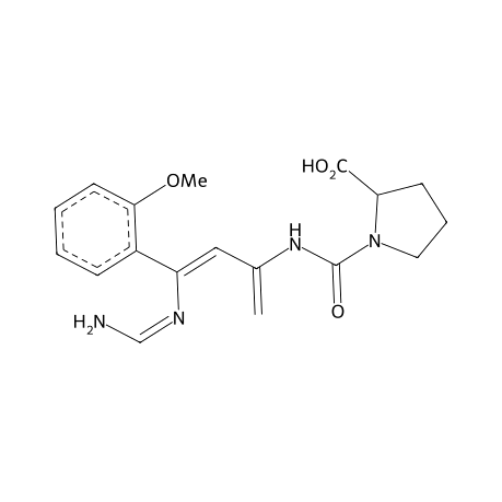 C=C(/C=C(\N=C/N)c1ccccc1OC)NC(=O)N1CCCC1C(=O)O